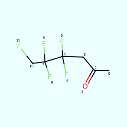 CC(=O)CC(F)(F)C(F)(F)CF